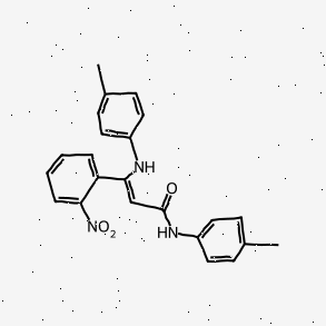 Cc1ccc(NC(=O)C=C(Nc2ccc(C)cc2)c2ccccc2[N+](=O)[O-])cc1